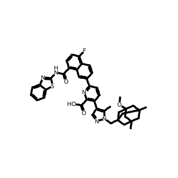 COC12CC3(C)CC(C)(CC(Cn4ncc(-c5ccc(-c6ccc7c(F)ccc(C(=O)Nc8nc9ccccc9s8)c7c6)nc5C(=O)O)c4C)(C3)C1)C2